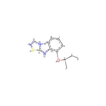 CCC(C)Oc1cccc2c1nc1sncn12